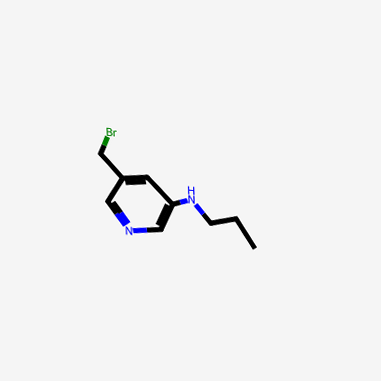 CCCNc1cncc(CBr)c1